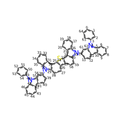 c1ccc(-n2c3ccccc3c3ccc(-n4c5ccccc5c5c6sc7c(ccc8c7c7ccccc7n8-c7ccc8c9ccccc9n(-c9ccccc9)c8c7)c6ccc54)cc32)cc1